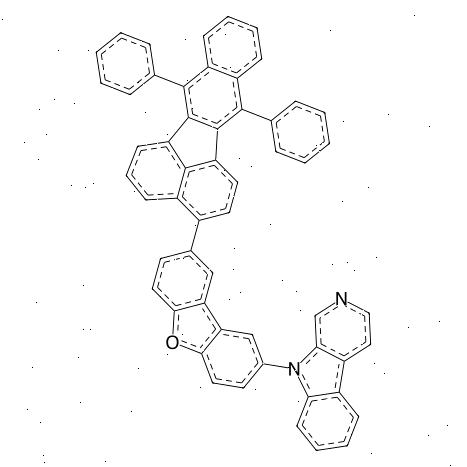 c1ccc(-c2c3c(c(-c4ccccc4)c4ccccc24)-c2ccc(-c4ccc5oc6ccc(-n7c8ccccc8c8ccncc87)cc6c5c4)c4cccc-3c24)cc1